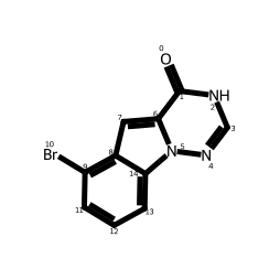 O=c1[nH]cnn2c1cc1c(Br)cccc12